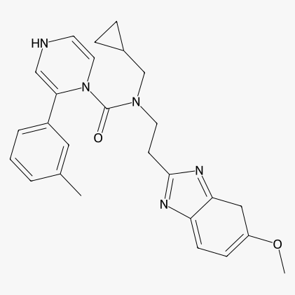 COC1=CC=C2N=C(CCN(CC3CC3)C(=O)N3C=CNC=C3c3cccc(C)c3)N=C2C1